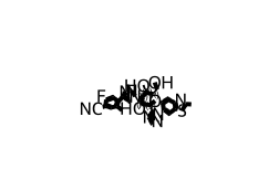 Cc1nc2ccc(-n3ncnc3[C@@H]3O[C@H](CO)[C@H](O)[C@H](n4cc(-c5cc(F)c(C#N)cc5C)nn4)[C@H]3O)cc2s1